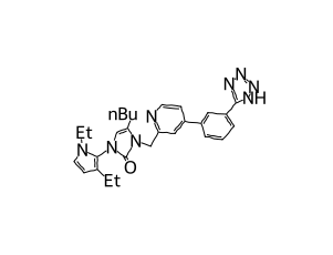 CCCCc1cn(-c2c(CC)ccn2CC)c(=O)n1Cc1cc(-c2cccc(-c3nnn[nH]3)c2)ccn1